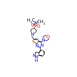 CN(C)S(=O)(=O)C1CCN(Cc2cc3c(N4CCOCC4)nc(-c4cccc5[nH]ncc45)nc3s2)CC1